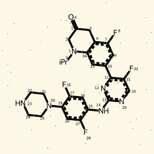 CC(C)N1CC(=O)Cc2c(F)cc(-c3nc(Nc4cc(F)c(N5CCNCC5)cc4F)ncc3F)cc21